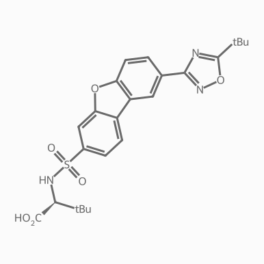 CC(C)(C)c1nc(-c2ccc3oc4cc(S(=O)(=O)N[C@H](C(=O)O)C(C)(C)C)ccc4c3c2)no1